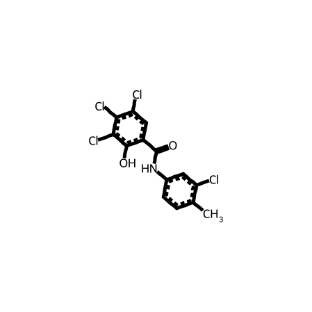 Cc1ccc(NC(=O)c2cc(Cl)c(Cl)c(Cl)c2O)cc1Cl